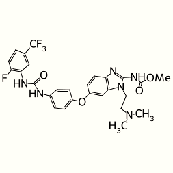 COC(=O)Nc1nc2ccc(Oc3ccc(NC(=O)Nc4cc(C(F)(F)F)ccc4F)cc3)cc2n1CCN(C)C